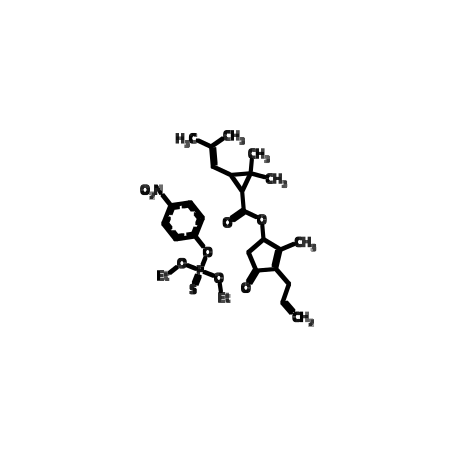 C=CCC1=C(C)C(OC(=O)C2C(C=C(C)C)C2(C)C)CC1=O.CCOP(=S)(OCC)Oc1ccc([N+](=O)[O-])cc1